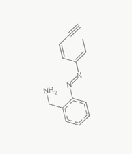 C#C\C=C/C(=C\C)/N=N/c1ccccc1CN